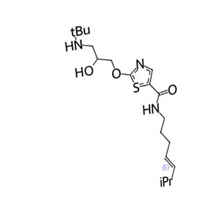 CC(C)/C=C/CCCNC(=O)c1cnc(OCC(O)CNC(C)(C)C)s1